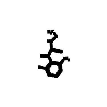 CONC(=O)C(=O)c1c(N)cccc1F